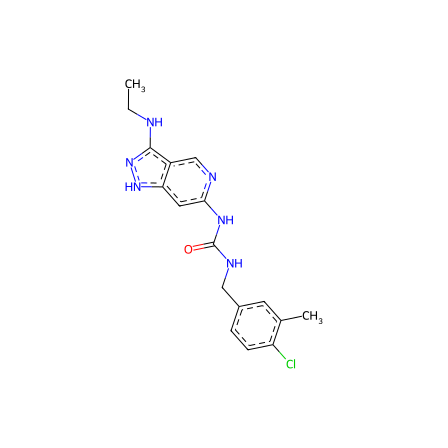 CCNc1n[nH]c2cc(NC(=O)NCc3ccc(Cl)c(C)c3)ncc12